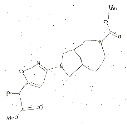 COC(=O)C(c1cc(N2CC3CCN(C(=O)OC(C)(C)C)CC3C2)no1)C(C)C